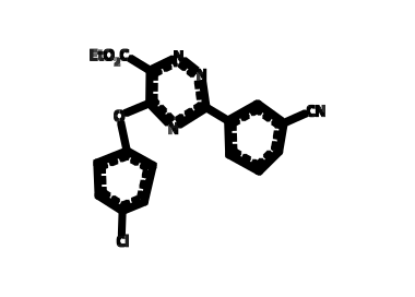 CCOC(=O)c1nnc(-c2cccc(C#N)c2)nc1Oc1ccc(Cl)cc1